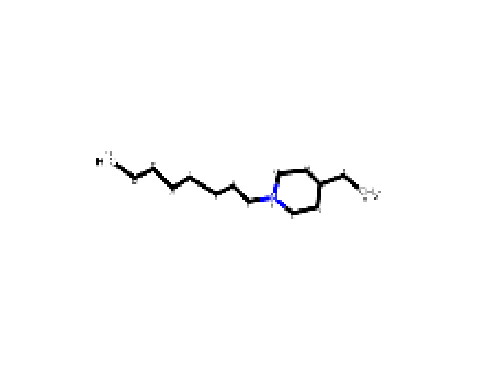 [CH2]CC1CCN(CCCCCCCC)CC1